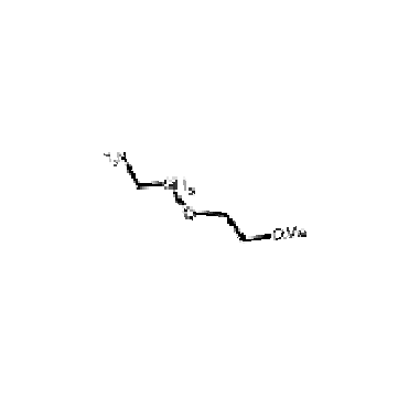 COCCO[SiH2]CN